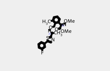 CO/N=C(/C(=O)OC)c1cccc(C)c1CO/N=C(\C)c1ncc(-c2cccc(F)c2)s1